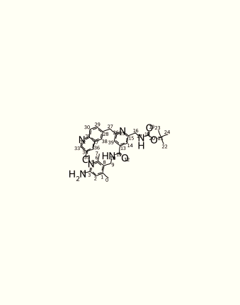 Cc1cc(N)nc(C)c1CNC(=O)c1cc(CNC(=O)OC(C)(C)C)nc(Cc2ccc3ncc(Cl)cc3c2)c1